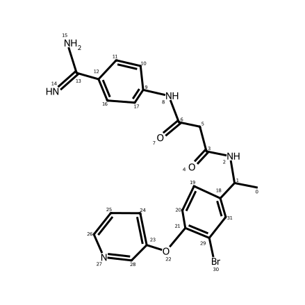 CC(NC(=O)CC(=O)Nc1ccc(C(=N)N)cc1)c1ccc(Oc2cccnc2)c(Br)c1